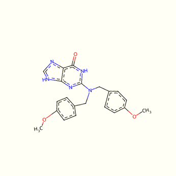 COc1ccc(CN(Cc2ccc(OC)cc2)c2nc3[nH]cnc3c(=O)[nH]2)cc1